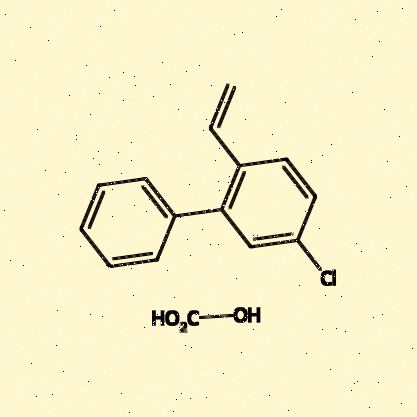 C=Cc1ccc(Cl)cc1-c1ccccc1.O=C(O)O